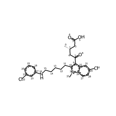 C[C@H](CC(=O)O)CC(=O)c1c(CCCCCNc2cccc(Cl)c2)n(C)c2ccc(Cl)cc12